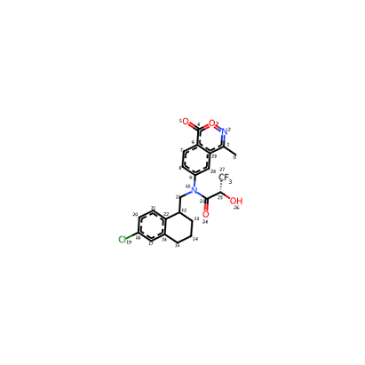 Cc1noc(=O)c2ccc(N(CC3CCCc4cc(Cl)ccc43)C(=O)[C@@H](O)C(F)(F)F)cc12